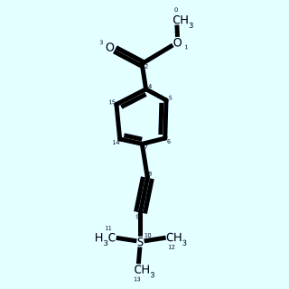 COC(=O)c1ccc(C#CS(C)(C)C)cc1